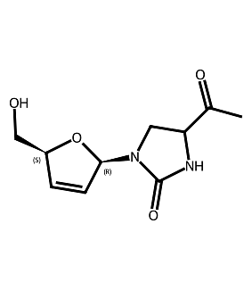 CC(=O)C1CN([C@H]2C=C[C@@H](CO)O2)C(=O)N1